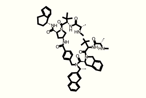 CN[C@@H](C)C(=O)NC(C(=O)N1Cc2ccccc2C[C@H]1C(=O)N(Cc1ccc(C(=O)N[C@H]2C[C@@H](C(=O)N[C@@H]3CCCc4ccccc43)N(C(=O)[C@@H](NC(=O)[C@H](C)NC)C(C)(C)C)C2)cc1)[C@H](C)c1ccc2ccccc2c1)C(C)(C)C